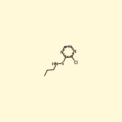 CCCNSc1nccnc1Cl